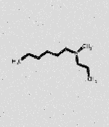 CCCCCCN(C)CCC